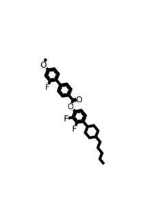 CCCCCC1CCC(c2ccc(OC(=O)c3ccc(-c4ccc(OC)cc4F)cc3)c(F)c2F)CC1